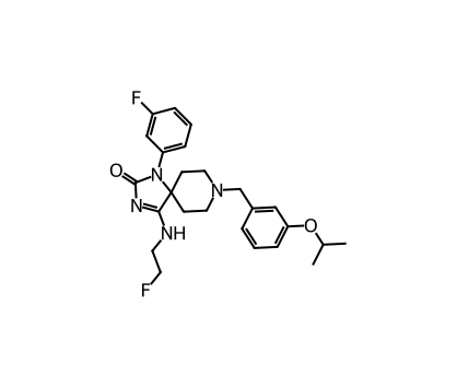 CC(C)Oc1cccc(CN2CCC3(CC2)C(NCCF)=NC(=O)N3c2cccc(F)c2)c1